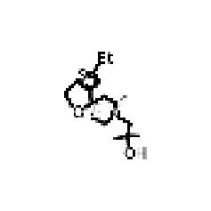 CCc1cc2c(s1)CCO[C@@]21CCN(CC(C)(C)O)[C@@H](C)C1